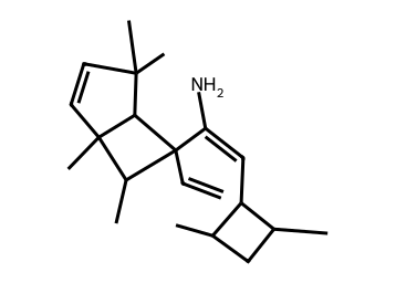 C=CC1(/C(N)=C\C2C(C)CC2C)C(C)C2(C)C=CC(C)(C)C21